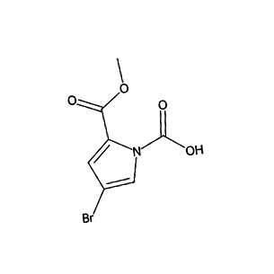 COC(=O)c1cc(Br)cn1C(=O)O